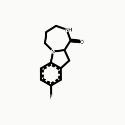 O=C1NCCCN2c3ccc(F)cc3CC12